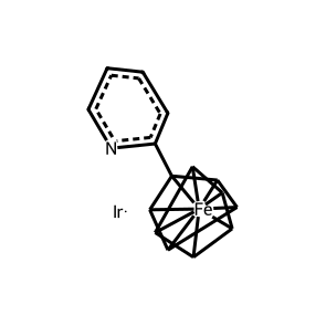 [Ir].c1ccc([C]23[CH]4[CH]5[CH]6[CH]2[Fe]56432789[CH]3[CH]2[CH]7[CH]8[CH]39)nc1